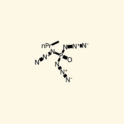 CCCC.[N-]=[N+]=NP(=O)(N=[N+]=[N-])N=[N+]=[N-]